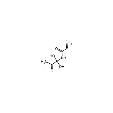 C=CC(=O)NC(O)(O)C(N)=O